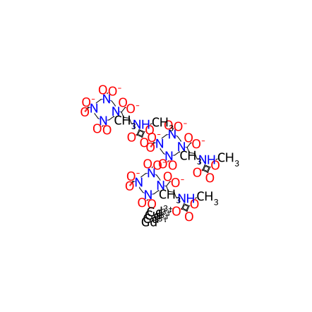 CCOc1c(NCCCC(C(=O)[O-])N2CCN(C(=O)[O-])CCN(C(=O)[O-])CCN(C(=O)[O-])CC2C)c(=O)c1=O.CCOc1c(NCCCC(C(=O)[O-])N2CCN(C(=O)[O-])CCN(C(=O)[O-])CCN(C(=O)[O-])CC2C)c(=O)c1=O.CCOc1c(NCCCC(C(=O)[O-])N2CCN(C(=O)[O-])CCN(C(=O)[O-])CCN(C(=O)[O-])CC2C)c(=O)c1=O.[Gd+3].[Gd+3].[Gd+3].[Gd+3]